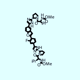 COC(=O)NC(C(=O)N1CCC[C@H]1c1ncc(-c2ccc(-c3cc4cc(-c5cnc([C@@H]6CCCN6C(=O)C(NC(=O)OC)C(C)C)[nH]5)ccc4o3)c(F)c2)[nH]1)C(C)C